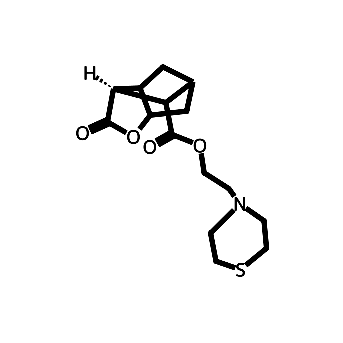 O=C(OCCN1CCSCC1)C1C2CC3OC(=O)[C@H]1C3C2